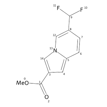 COC(=O)c1cc2ccc(C(F)F)cn2c1